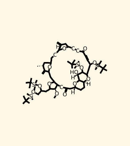 C=C1C2CC3OC(CC(CO[Si](C)(C)C(C)(C)C)O[Si](C)(C)C(C)(C)C)[C@H](OC)C3CC(=O)C[C@H]3CC[C@@H]4OC(C(O[Si](C)(C)C(C)(C)C)/C=C/C(=O)CCC5CC(=C)[C@H](CCC(C[C@H]1C)O2)O5)C(O[Si](C)(C)C(C)(C)C)[C@@H](O)C4O3